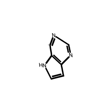 [c]1ncnc2cc[nH]c12